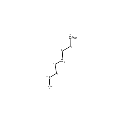 COCCOCCSC(C)=O